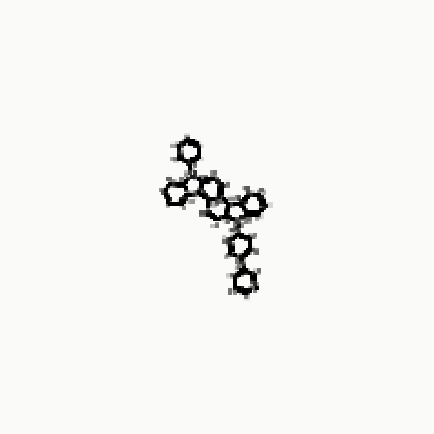 c1ccc(-n2c3ccccc3c3c4ccc5c(c4ccc32)c2ccccc2n5-c2ccc(-c3cccnc3)cc2)cc1